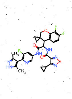 Cc1n[nH]c(C)c1-c1ncc(NC(=O)C(NC(=O)c2nonc2C2CC2)C2c3ccc(F)c(F)c3OCC23CC3)cc1F